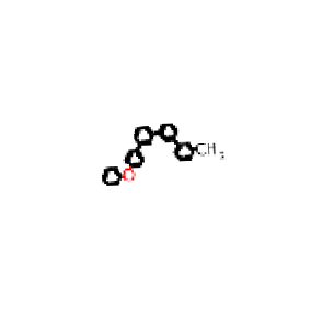 Cc1cccc(-c2cccc(-c3cccc(-c4ccc(Oc5ccccc5)cc4)c3)c2)c1